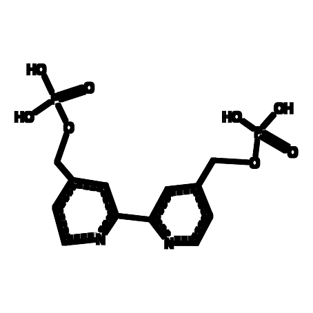 O=P(O)(O)OCc1ccnc(-c2cc(COP(=O)(O)O)ccn2)c1